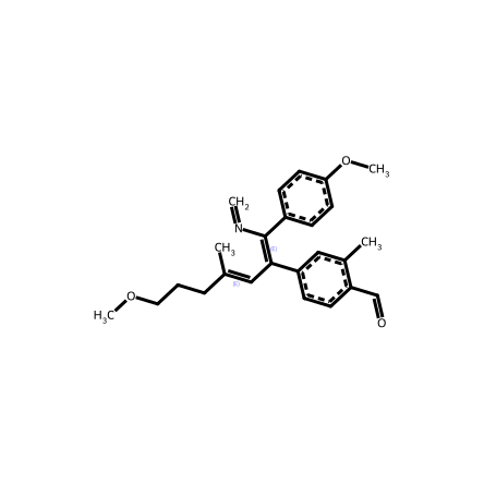 C=N/C(=C(\C=C(/C)CCCOC)c1ccc(C=O)c(C)c1)c1ccc(OC)cc1